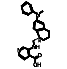 CN(c1ccccc1)c1ccc2c(c1)CCC[C@@H]2CNc1cnccc1C(=O)O